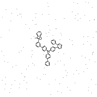 Cc1c(-c2cccc(-c3ccc(N(c4ccc(-c5ccccc5)cc4)c4ccc(-c5ccccc5-c5ccccc5)cc4)cc3)c2)oc2ccccc12